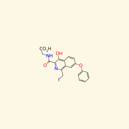 O=C(O)CNC(=O)c1nc(CI)c2cc(Oc3ccccc3)ccc2c1O